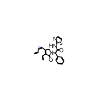 C=C/C=C\C1=C(C=C)C(=O)N(C(C(=O)Nc2nccs2)c2ccccc2)C1